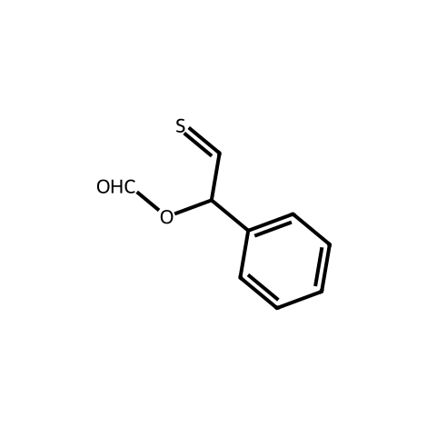 O=COC(C=S)c1ccccc1